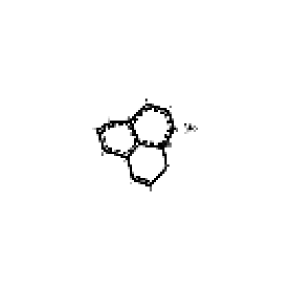 C1=Cc2cccc3cccc(c23)C1.[Mo]